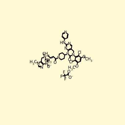 COc1cc(OC)c(Cl)c(N2Cc3cnc(Nc4ccncc4)nc3N(C3CCN(C(=O)/C=C/C[N+](C)(C)Cc4c([N+](=O)[O-])ncn4C)CC3)C2=O)c1Cl.O=C([O-])C(F)(F)F